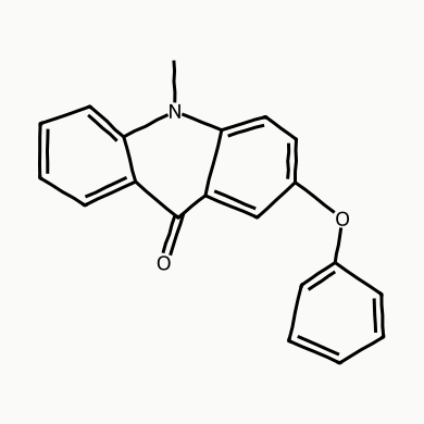 Cn1c2ccccc2c(=O)c2cc(Oc3ccccc3)ccc21